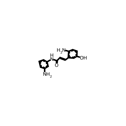 Nc1cccc(NC(=O)C=Cc2cc(O)ccc2N)c1